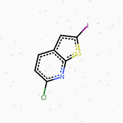 Clc1ccc2cc(I)sc2n1